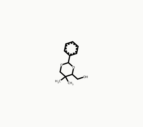 CC1(C)COC(c2ccccc2)OC1CO